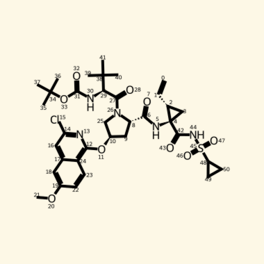 C=C[C@@H]1C[C@]1(NC(=O)[C@@H]1C[C@@H](Oc2nc(Cl)cc3cc(OC)ccc23)CN1C(=O)[C@@H](NC(=O)OC(C)(C)C)C(C)(C)C)C(=O)NS(=O)(=O)C1CC1